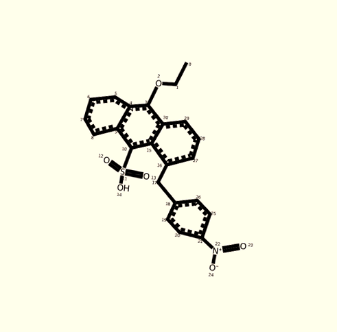 CCOc1c2ccccc2c(S(=O)(=O)O)c2c(Cc3ccc([N+](=O)[O-])cc3)cccc12